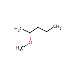 [CH2]CCC([CH2])OC